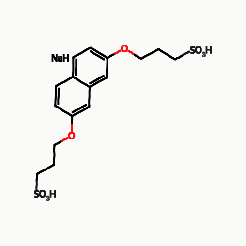 O=S(=O)(O)CCCOc1ccc2ccc(OCCCS(=O)(=O)O)cc2c1.[NaH]